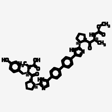 COC(=O)N[C@@H](C)C(=O)N1CCC[C@H]1c1ncc(-c2ccc(-c3ccc(-c4cnc([C@@H]5CCCN5C(=O)[C@H](Cc5ccc(O)cc5)N(C)C(=O)O)[nH]4)cc3)cc2)[nH]1